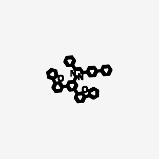 c1ccc(-c2ccc(-c3cc(-c4ccccc4)nc(-c4cc(-c5cccc6c5oc5ccccc56)cc(-c5cccc6c5oc5ccccc56)c4)n3)cc2)cc1